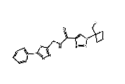 O=C(NCc1nnc(-c2ccccc2)s1)c1cn(C2(CO)CCC2)nn1